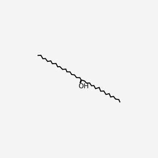 CCCCCCCCCCCCCCCCCCC(=CO)CCCCCCCCCCCCCCCC